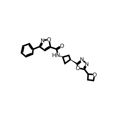 O=C(N[C@H]1C[C@H](c2nnc(C3CCO3)o2)C1)c1cc(-c2ccccc2)no1